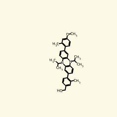 COc1ccc(-c2ccc3c(c2)N(C(C)C)c2ccc(-c4ccc(CO)cc4C)cc2N3C(C)C)c(C)c1